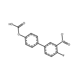 O=C(O)Oc1ccc(-c2ccc(F)c([N+](=O)[O-])c2)cc1